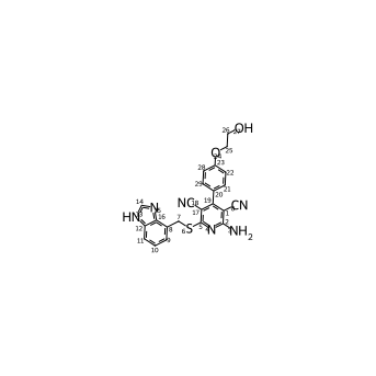 N#Cc1c(N)nc(SCc2cccc3[nH]cnc23)c(C#N)c1-c1ccc(OCCO)cc1